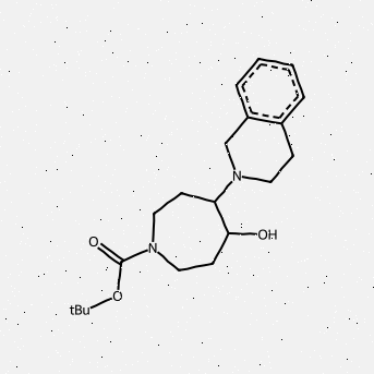 CC(C)(C)OC(=O)N1CCC(O)C(N2CCc3ccccc3C2)CC1